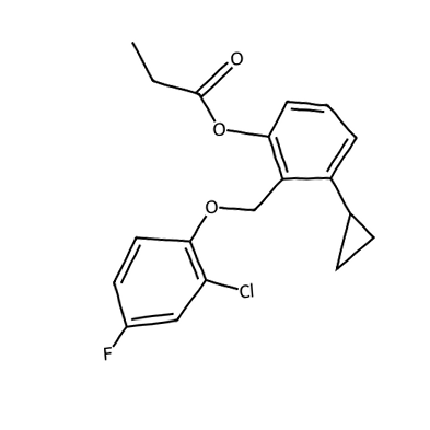 CCC(=O)Oc1cccc(C2CC2)c1COc1ccc(F)cc1Cl